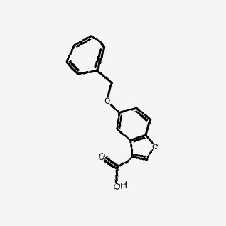 O=C(O)c1coc2ccc(OCc3ccccc3)cc12